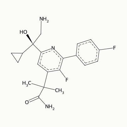 CC(C)(C(N)=O)c1cc([C@@](O)(CN)C2CC2)nc(-c2ccc(F)cc2)c1F